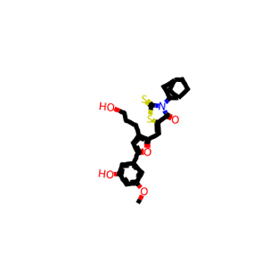 COc1cc(O)cc(-c2cc(CCCO)c(/C=C3\SC(=S)N(C4CC5CCC4C5)C3=O)o2)c1